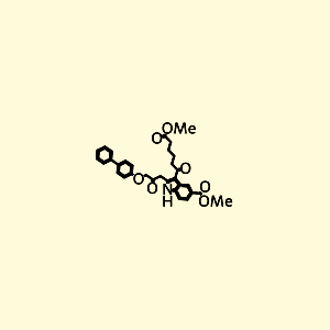 COC(=O)CCCCC(=O)c1c(CC(=O)COc2ccc(-c3ccccc3)cc2)[nH]c2ccc(C(=O)OC)cc12